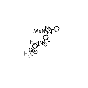 CNc1ncc(C2CCCCC2)nc1C1=CCC(C(=O)NCc2cc(F)cc(S(C)(=O)=O)c2)C(F)=C1